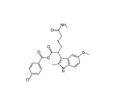 COc1ccc2[nH]c(C)c(C(CSCC(N)=O)C(=O)OC(=O)c3ccc(Cl)cc3)c2c1